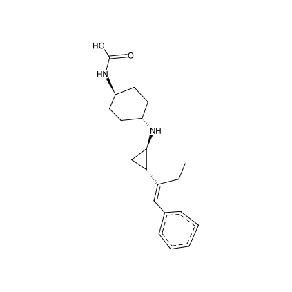 CC/C(=C\c1ccccc1)[C@@H]1C[C@H]1N[C@H]1CC[C@H](NC(=O)O)CC1